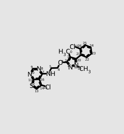 Cc1c(OCCNc2ncnc3scc(Cl)c23)nn(C)c1-c1ccccc1Cl